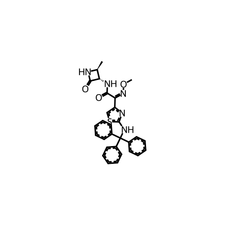 CO/N=C(\C(=O)N[C@@H]1C(=O)N[C@H]1C)c1csc(NC(c2ccccc2)(c2ccccc2)c2ccccc2)n1